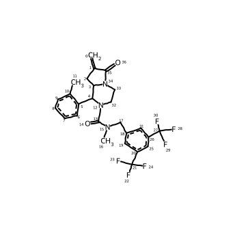 C=C1CC2C(c3ccccc3C)N(C(=O)N(C)Cc3cc(C(F)(F)F)cc(C(F)(F)F)c3)CCN2C1=O